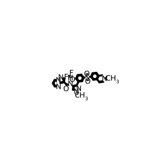 CN1C=Cc2cc(S(=O)(=O)c3ccc(OC(F)F)c(-c4nn(C)cc4NC(=O)c4cnn5cccnc45)c3)ccc2C1